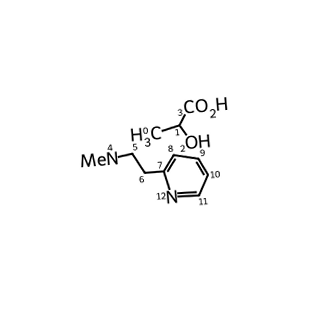 CC(O)C(=O)O.CNCCc1ccccn1